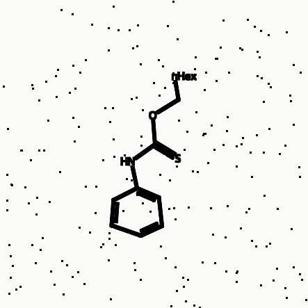 CCCCCCCOC(=S)Nc1ccccc1